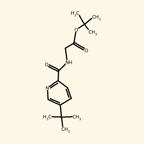 CC(C)(C)OC(=O)CNC(=O)c1ccc(C(C)(C)C)cn1